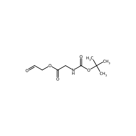 CC(C)(C)OC(=O)NCC(=O)OCC=O